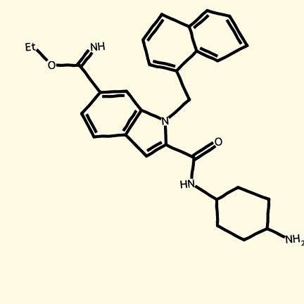 CCOC(=N)c1ccc2cc(C(=O)NC3CCC(N)CC3)n(Cc3cccc4ccccc34)c2c1